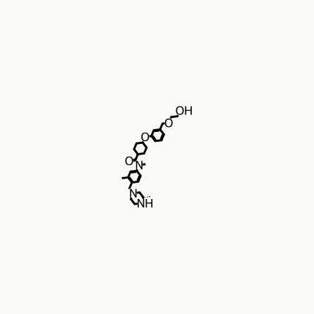 Cc1cc(N(C)C(=O)C2CCC(Oc3cccc(COCCO)c3)CC2)ccc1CN1CCN[C@@H](C)C1